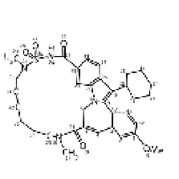 COC1=CC2C=C3Cn4c(c(C5CCCCC5)c5ccc(cc54)C(=O)NS(=O)(=O)N(C)CCCCCCN(C)C3=O)C2C=C1